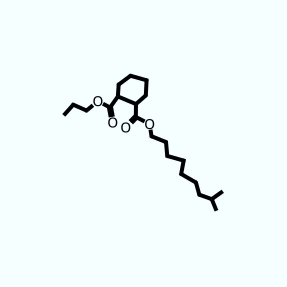 CCCOC(=O)C1CCCCC1C(=O)OCCCCCCCC(C)C